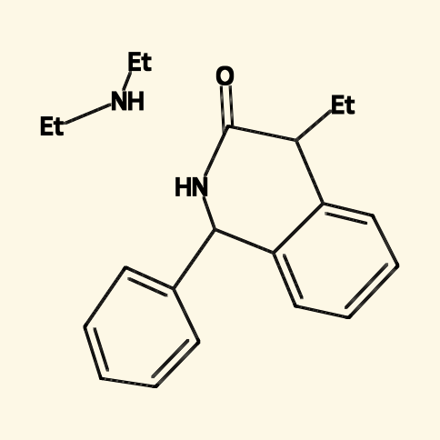 CCC1C(=O)NC(c2ccccc2)c2ccccc21.CCNCC